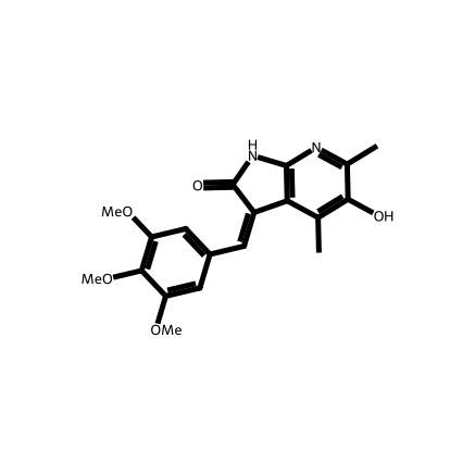 COc1cc(C=C2C(=O)Nc3nc(C)c(O)c(C)c32)cc(OC)c1OC